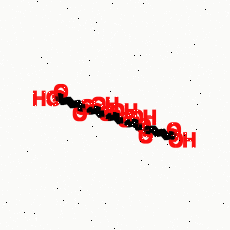 O=C(O)CCCCC(=O)OCC(O)COCC(O)COCC(O)COC(=O)CCCCC(=O)O